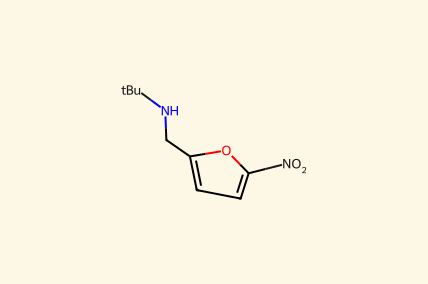 CC(C)(C)NCc1ccc([N+](=O)[O-])o1